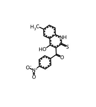 Cc1ccc2[nH]c(=S)c(C(=O)c3ccc([N+](=O)[O-])cc3)c(O)c2c1